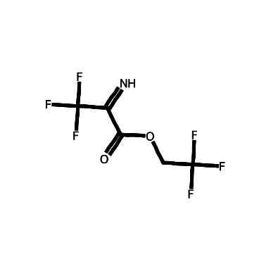 N=C(C(=O)OCC(F)(F)F)C(F)(F)F